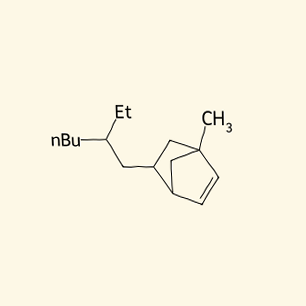 CCCCC(CC)CC1CC2(C)C=CC1C2